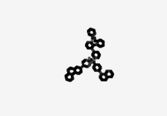 CC1(N(c2ccc(-c3cccc4ccccc34)cc2)c2cccc(-c3cccc4c3c3ccccc3n4-c3ccccc3)c2)C=CC(c2ccc3c(ccc4ccccc43)c2)=CC1